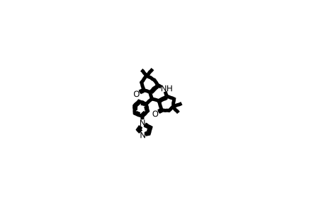 CC1(C)CC(=O)C2=C(C1)NC1=C(C(=O)CC(C)(C)C1)C2c1cccc(-n2ccnc2)c1